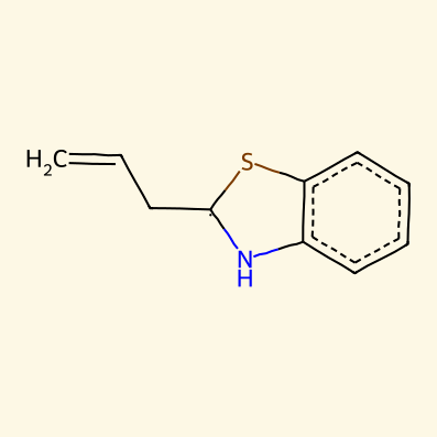 C=CC[C]1Nc2ccccc2S1